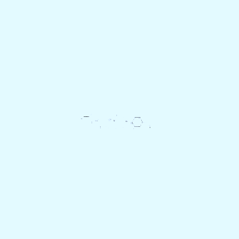 CCCOc1ccc(C2CCC(C3CCC(CC=CF)CC3)CC2)cc1